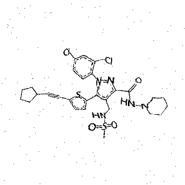 CS(=O)(=O)NCc1c(C(=O)NN2CCCCC2)nn(-c2ccc(Cl)cc2Cl)c1-c1ccc(C#CC2CCCC2)s1